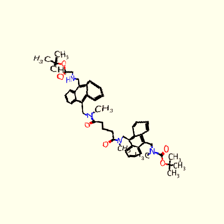 CN(Cc1c2ccccc2c(CNCC(=O)OC(C)(C)C)c2ccccc12)C(=O)CCCC(=O)N(C)Cc1c2ccccc2c(CN(C)C(=O)OC(C)(C)C)c2ccccc12